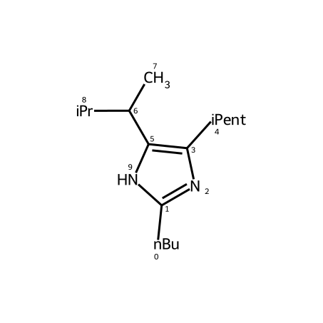 CCCCc1nc(C(C)CCC)c(C(C)C(C)C)[nH]1